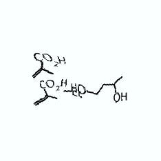 C=C(C)C(=O)O.C=C(C)C(=O)O.CC(O)CCO.CCC